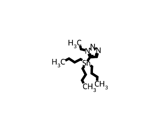 CCC[CH2][Sn]([CH2]CCC)([CH2]CCC)[c]1cnnn1CC